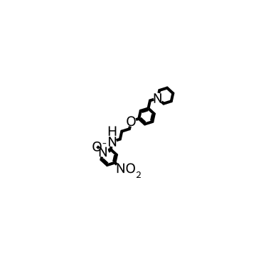 O=[N+]([O-])c1cc[n+]([O-])c(NCCCOc2cccc(CN3CCCCC3)c2)c1